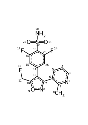 Cc1ncccc1-c1noc(CF)c1-c1cc(F)c(S(N)(=O)=O)c(F)c1